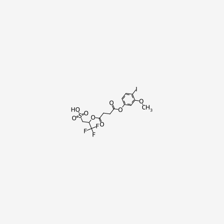 COc1cc(OC(=O)CCC(=O)OC(CS(=O)(=O)O)C(F)(F)F)ccc1I